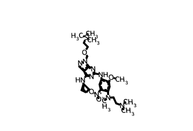 COc1cc(N(C)CCN(C)C)c([N+](=O)[O-])cc1Nc1nc(NC23CC(C2)C3)c2cnn(COCC[Si](C)(C)C)c2n1